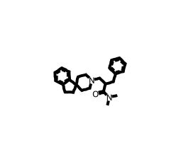 CN(C)C(=O)C(Cc1ccccc1)CN1CCC2(CCc3ccccc32)CC1